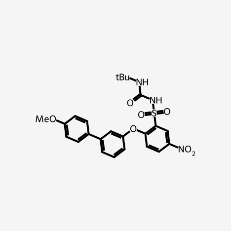 COc1ccc(-c2cccc(Oc3ccc([N+](=O)[O-])cc3S(=O)(=O)NC(=O)NC(C)(C)C)c2)cc1